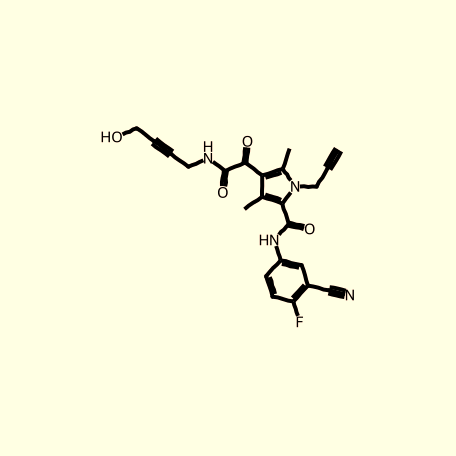 C#CCn1c(C)c(C(=O)C(=O)NCC#CCO)c(C)c1C(=O)Nc1ccc(F)c(C#N)c1